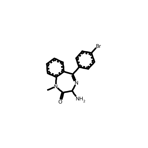 CN1C(=O)C(N)N=C(c2ccc(Br)cc2)c2ccccc21